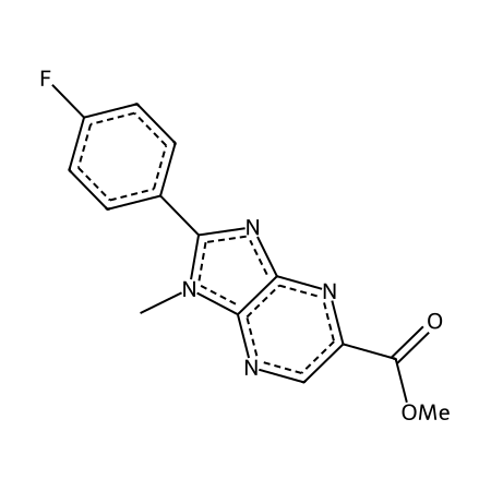 COC(=O)c1cnc2c(n1)nc(-c1ccc(F)cc1)n2C